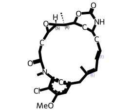 COc1cc2cc(c1Cl)N(C)C(=O)CCC1O[C@H]1[C@H](C)C1CC(C/C=C/C=C(\C)C2)NC(=O)O1